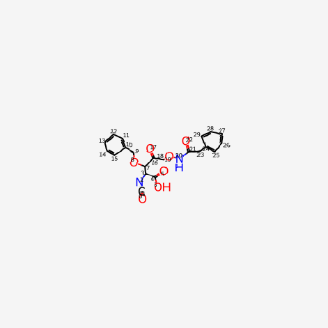 O=C=NC(C(=O)O)C(OCc1ccccc1)C(=O)CONC(=O)Cc1ccccc1